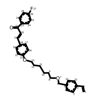 C=Cc1ccc(COCCCCCCOc2ccc(C=CC(=O)c3ccc(F)cc3)cc2)cc1